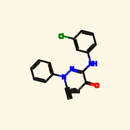 C#CN(N=C(Nc1cccc(Cl)c1)C(=O)C(C)(C)C)c1ccccc1